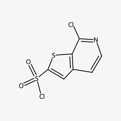 O=S(=O)(Cl)c1cc2ccnc(Cl)c2s1